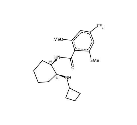 COc1cc(C(F)(F)F)cc(SC)c1C(=O)N[C@@H]1CCCC[C@@H]1NC1CCC1